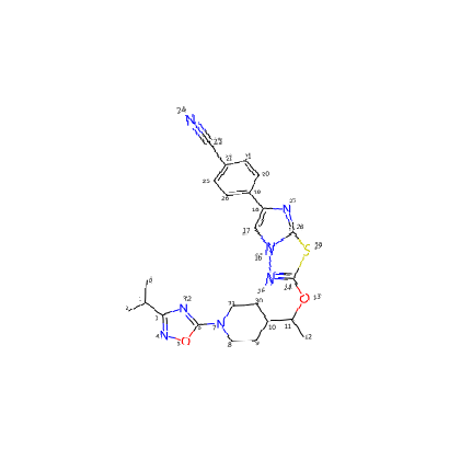 CC(C)c1noc(N2CCC(C(C)Oc3nn4cc(-c5ccc(C#N)cc5)nc4s3)CC2)n1